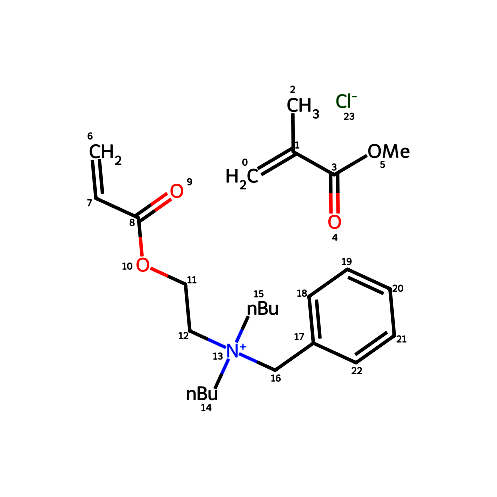 C=C(C)C(=O)OC.C=CC(=O)OCC[N+](CCCC)(CCCC)Cc1ccccc1.[Cl-]